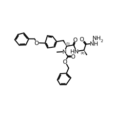 C[C@@H](NC(=O)[C@H](Cc1ccc(OCc2ccccc2)cc1)N(C)C(=O)OCc1ccccc1)C(=O)NN